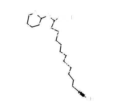 CC#CCCCCCCCCCCCC(OC1CCCCO1)C(=O)O